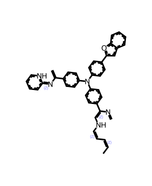 C=N/C(=C\N/C=C\C=C/C)c1ccc(N(c2ccc(C(=C)/N=c3/cccc[nH]3)cc2)c2ccc(-c3cc4ccccc4o3)cc2)cc1